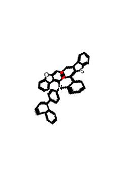 c1ccc(N(c2ccc(-c3cccc4ccccc34)cc2)c2cccc3oc4ccccc4c23)c(-c2cccc3c2sc2ccccc23)c1